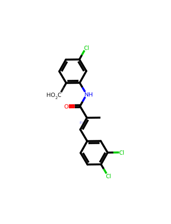 C/C(=C\c1ccc(Cl)c(Cl)c1)C(=O)Nc1cc(Cl)ccc1C(=O)O